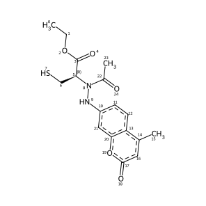 CCOC(=O)[C@H](CS)N(Nc1ccc2c(C)cc(=O)oc2c1)C(C)=O